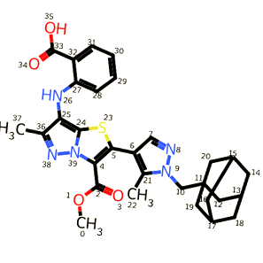 COC(=O)c1c(-c2cnn(CC34CC5CC(CC(C5)C3)C4)c2C)sc2c(Nc3ccccc3C(=O)O)c(C)nn12